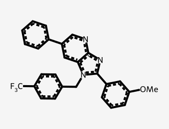 COc1cccc(-c2nc3ncc(-c4ccccc4)cc3n2Cc2ccc(C(F)(F)F)cc2)c1